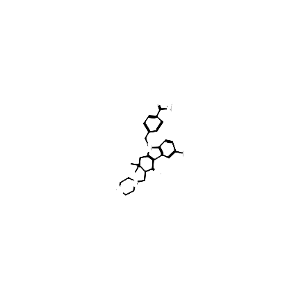 CC1(C)Cc2c(c3cc(F)ccc3n2Cc2ccc(C(=O)NO)cc2)C(=O)C1CN1CCOCC1